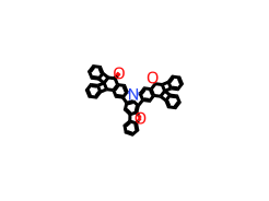 O=C1c2cc3c(cc2C2c4ccccc4C24c2ccccc2C14)c1cc2c4ccccc4oc2c2c4cc5c(cc4n3c12)C(=O)C1c2ccccc2C12c1ccccc1C52